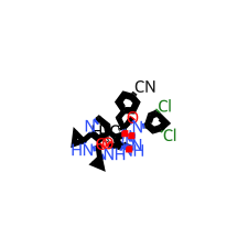 C[C@@]1(Cc2ccc(C#N)cc2)C(=O)N(c2cc(Cl)cc(Cl)c2)c2ncc(C(=O)NC3(C(=O)NC4(c5cc(-c6cn[nH]c6)ccn5)CC4)CC3)n21